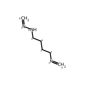 C=NCCCCNN=C